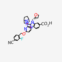 N#Cc1ccc(COc2cccc(N3CC4CCC(C3)N4Cc3nc4ccc(C(=O)O)cc4n3C[C@H]3CCO3)n2)c(F)c1